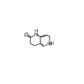 O=C1CCC2=CNCC=C2N1